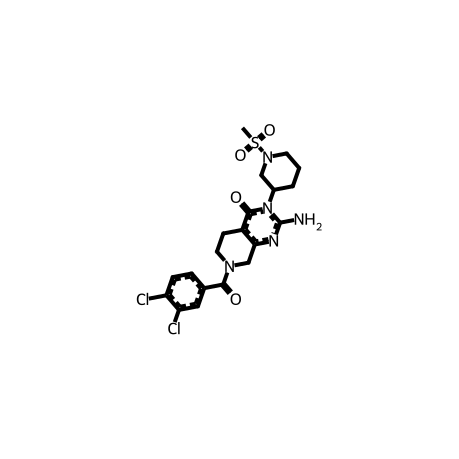 CS(=O)(=O)N1CCCC(n2c(N)nc3c(c2=O)CCN(C(=O)c2ccc(Cl)c(Cl)c2)C3)C1